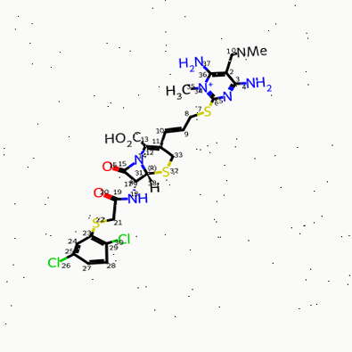 CNCc1c(N)nc(SCC=CC2=C(C(=O)O)N3C(=O)[C@@H](NC(=O)CSc4cc(Cl)ccc4Cl)[C@H]3SC2)[n+](C)c1N